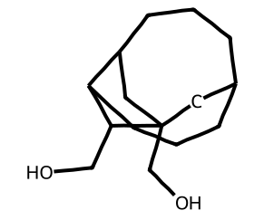 OCC1C2CCCC3CCCC2CC1(CO)C3